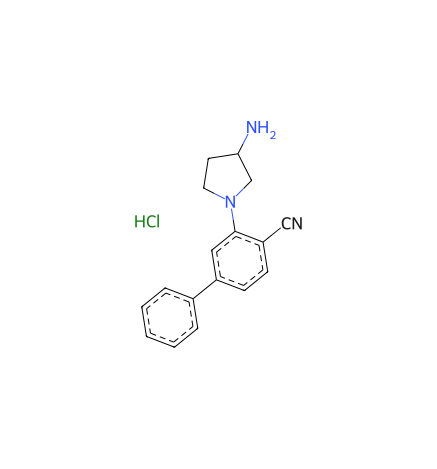 Cl.N#Cc1ccc(-c2ccccc2)cc1N1CCC(N)C1